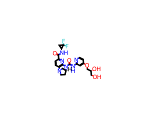 O=C(N[C@@H]1CC1(F)F)c1ccc2c(n1)N(C(=O)Nc1cc(OC[C@H](O)CO)ccn1)[C@H]1CCN2C1